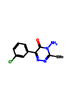 CSc1nnc(-c2cccc(Cl)c2)c(=O)n1N